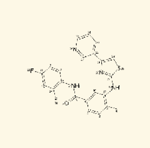 Cc1ccc(C(=O)Nc2ccc(F)cc2F)cc1Nc1nc(-c2cccnc2)cs1